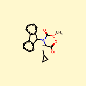 COC(=O)N(C1c2ccccc2-c2ccccc21)[C@@H](CC1CC1)C(=O)O